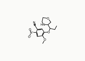 CCC(Oc1cc(C#N)c([N+](=O)[O-])cc1OC)C1COCCN1